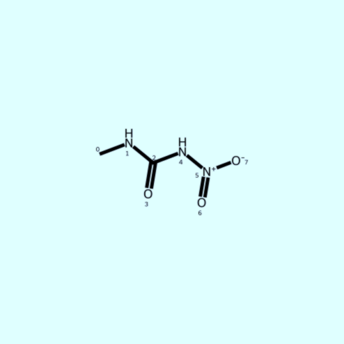 CNC(=O)N[N+](=O)[O-]